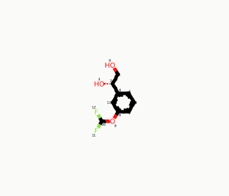 OC[C@@H](O)c1cccc(OC(F)F)c1